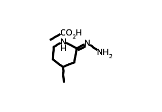 CC(=O)O.CC1CCNC(=NN)C1